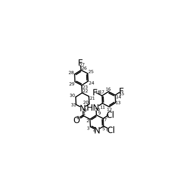 O=C(c1cnc(Cl)c(Cl)c1Nc1ccc(F)cc1F)N1CCC(c2ccc(F)cc2)CC1